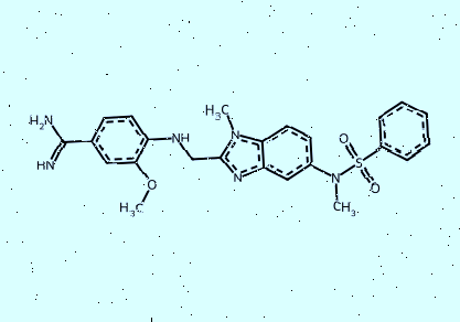 COc1cc(C(=N)N)ccc1NCc1nc2cc(N(C)S(=O)(=O)c3ccccc3)ccc2n1C